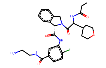 C[CH]C(=O)N[C@H](C(=O)N1Cc2ccccc2[C@H]1C(=O)Nc1cc(C(=O)NCCN)ccc1F)C1CCOCC1